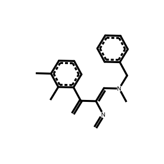 C=N/C(=C\N(C)Cc1ccccc1)C(=C)c1cccc(C)c1C